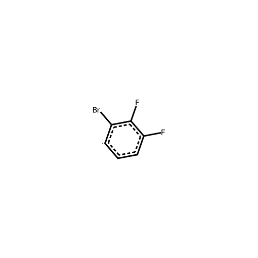 Fc1cc[c]c(Br)c1F